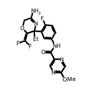 CCC1(c2cc(NC(=O)c3cnc(OC)cn3)ccc2F)N=C(N)COC1=C(F)F